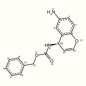 Nc1ccc2c(c1)[C@H](NC(=O)OCc1ccccc1)C=CO2